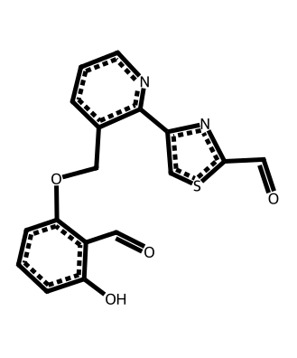 O=Cc1nc(-c2ncccc2COc2cccc(O)c2C=O)cs1